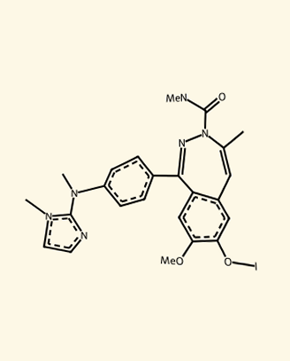 CNC(=O)N1N=C(c2ccc(N(C)c3nccn3C)cc2)c2cc(OC)c(OI)cc2C=C1C